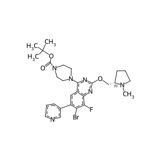 CN1CCC[C@H]1COc1nc(N2CCN(C(=O)OC(C)(C)C)CC2)c2cc(-c3cccnc3)c(Br)c(F)c2n1